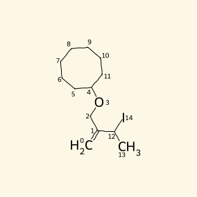 C=C(COC1CCCCCCC1)C(C)I